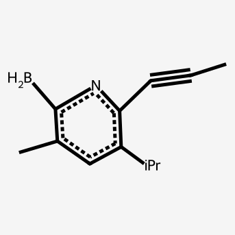 Bc1nc(C#CC)c(C(C)C)cc1C